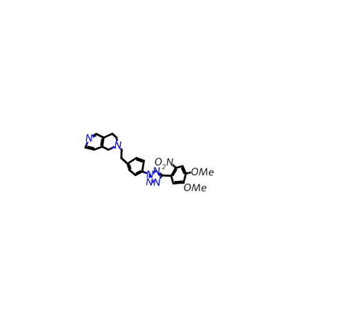 COc1cc(-c2nnn(-c3ccc(CCN4CCc5cnccc5C4)cc3)n2)c([N+](=O)[O-])cc1OC